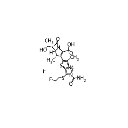 Cc1c(C2=C(C(=O)O)N3C(=O)[C@H]([C@@H](C)O)[C@H]3[C@H]2C)sc2c(SCCF)n(C(N)=O)c[n+]12.[I-]